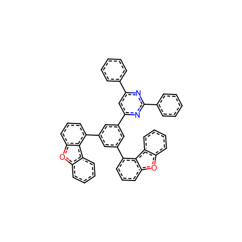 c1ccc(-c2cc(-c3cc(-c4cccc5oc6ccccc6c45)cc(-c4cccc5oc6ccccc6c45)c3)nc(-c3ccccc3)n2)cc1